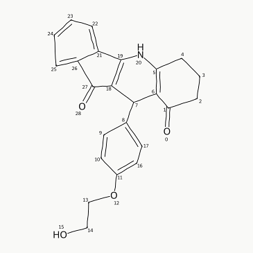 O=C1CCCC2=C1C(c1ccc(OCCO)cc1)C1=C(N2)c2ccccc2C1=O